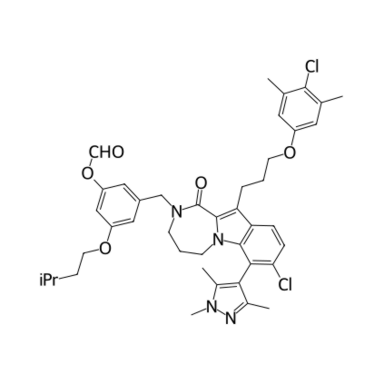 Cc1cc(OCCCc2c3n(c4c(-c5c(C)nn(C)c5C)c(Cl)ccc24)CCCN(Cc2cc(OC=O)cc(OCCC(C)C)c2)C3=O)cc(C)c1Cl